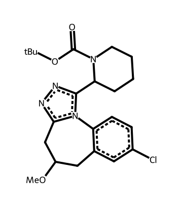 COC1Cc2cc(Cl)ccc2-n2c(nnc2C2CCCCN2C(=O)OC(C)(C)C)C1